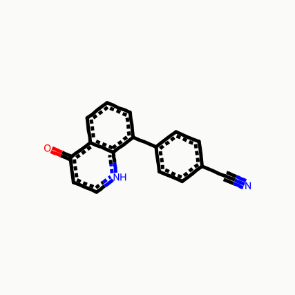 N#Cc1ccc(-c2cccc3c(=O)cc[nH]c23)cc1